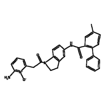 Cc1ccc(-c2ccccc2)c(C(=O)Nc2ccc3c(c2)CCN3C(=O)Cc2cccc(N)[n+]2[O-])c1